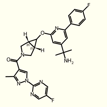 Cc1nn(-c2ncc(F)cn2)cc1C(=O)N1C[C@@H]2C(Oc3cc(C(C)(C)N)cc(-c4ccc(F)cc4)n3)[C@@H]2C1